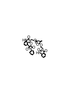 C=C(CC(=O)OCCn1c(=O)[nH]c2cccc(C3=CC(=O)N(c4ccccc4)C3=O)c2c1=O)C(=O)OCCn1c(=O)[nH]c2ccccc2c1=O